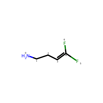 NCCC=C(F)F